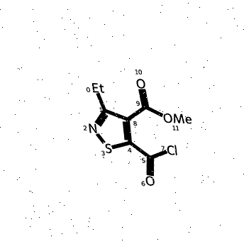 CCc1nsc(C(=O)Cl)c1C(=O)OC